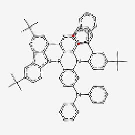 CC(C)(C)c1ccc(N2c3cc(N(c4ccccc4)c4ccccc4)ccc3B3c4c(cc5c(sc6ccccc65)c42)-c2cc(C(C)(C)C)cc4c5cc(C(C)(C)C)ccc5n3c24)c(-c2ccccc2)c1